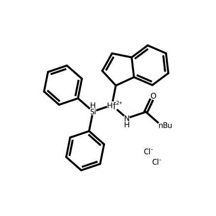 CCCCC(=O)[NH][Hf+2]([CH]1C=Cc2ccccc21)[SiH](c1ccccc1)c1ccccc1.[Cl-].[Cl-]